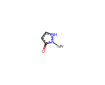 CCCn1[nH]ccc1=O